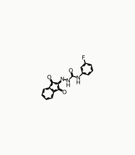 O=C(NN=c1c(=O)c2ccccc2c1=O)Nc1cccc(F)c1